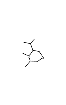 CC(C)C1CSCC(C)N1C